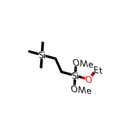 CCO[Si](CC[Si](C)(C)C)(OC)OC